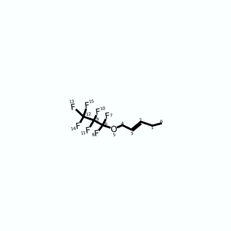 CCC=CCOC(F)(F)C(F)(F)C(F)(F)F